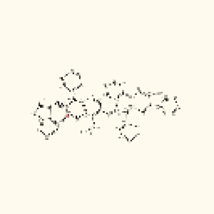 C=C/C(=C\c1c(C)sc2ccccc12)N(c1ccccc1)c1cc2c(cc(N(c3ccccc3)c3ccc4sc5ccccc5c4c3)c3ccccc32)c(C=C)c1/C=C\C